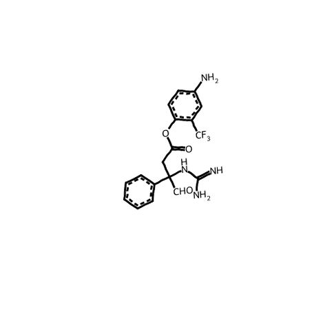 N=C(N)NC(C=O)(CC(=O)Oc1ccc(N)cc1C(F)(F)F)c1ccccc1